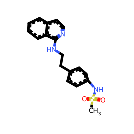 CS(=O)(=O)Nc1ccc(CCNc2nccc3ccccc23)cc1